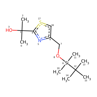 CC(C)(O)c1nc(CO[Si](C)(C)C(C)(C)C)cs1